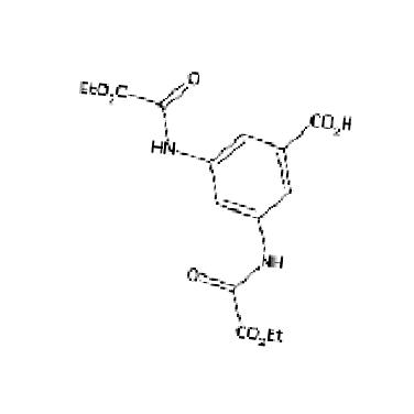 CCOC(=O)C(=O)Nc1cc(NC(=O)C(=O)OCC)cc(C(=O)O)c1